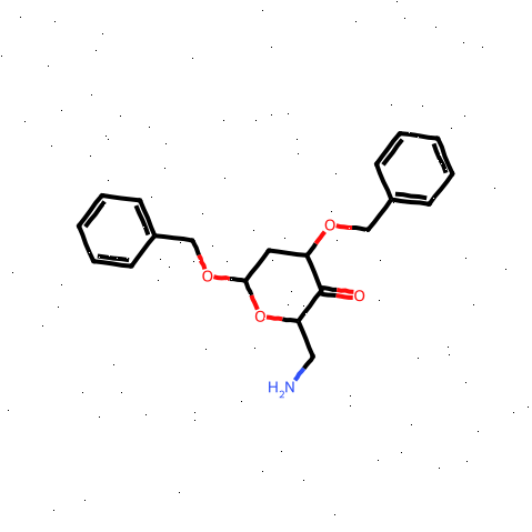 NCC1OC(OCc2ccccc2)CC(OCc2ccccc2)C1=O